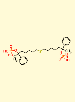 CC(CCCCCSCCCCCC(C)(OP(=O)(O)O)c1ccccc1)(OP(=O)(O)O)c1ccccc1